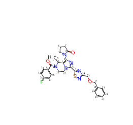 CC1c2c(N3CCCC3=O)nc(-c3nc(COCc4ccccc4)ns3)n2CCN1C(=O)c1ccc(F)cc1